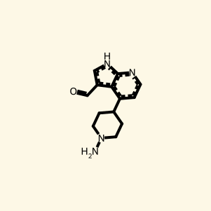 NN1CCC(c2ccnc3[nH]cc(C=O)c23)CC1